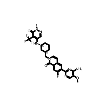 COc1cnc(-c2cc3ccn(C[C@@H]4CCC[C@H](Nc5cnn(I)c(=O)c5C(F)(F)F)C4)c(=O)c3cc2F)nc1N